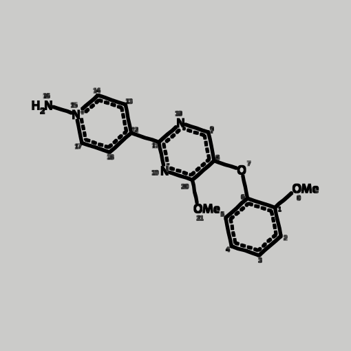 COc1ccccc1Oc1[c]nc(-c2cc[n+](N)cc2)nc1OC